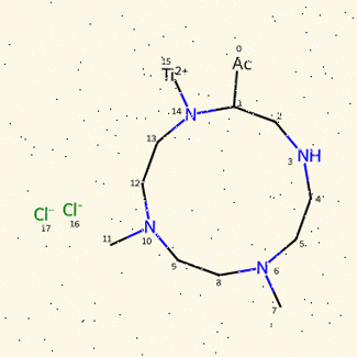 CC(=O)C1CNCCN(C)CCN(C)CC[N]1[Ti+2].[Cl-].[Cl-]